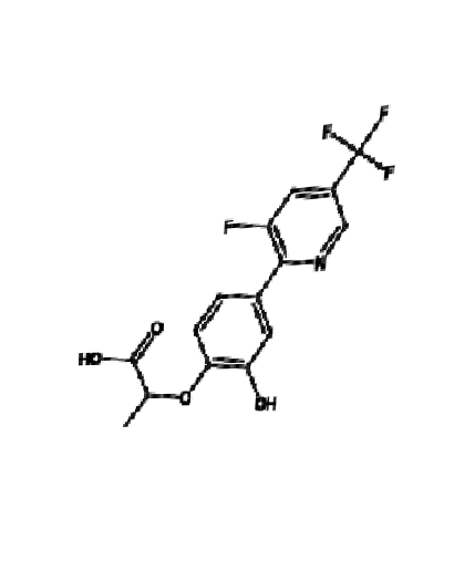 CC(Oc1ccc(-c2ncc(C(F)(F)F)cc2F)cc1O)C(=O)O